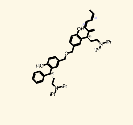 C=C(/C=C\C=C/C)[C@@H](CCN(C(C)C)C(C)C)c1cc(COCc2ccc(O)c([C@H](CCN(C(C)C)C(C)C)c3ccccc3)c2)ccc1O